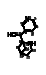 OC(c1cccnc1)C12CC(CCN1)C2